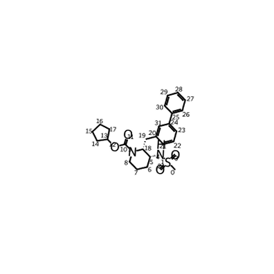 CS(=O)(=O)N[C@@H]1CCCN(C(=O)OC2CCCC2)[C@@H]1Cc1cccc(-c2ccccc2)c1